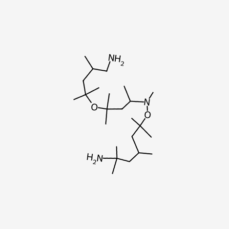 CC(CC(C)(C)N)CC(C)(C)ON(C)C(C)CC(C)(C)OC(C)(C)CC(C)CN